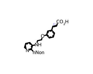 CCCCCCCCCc1ncccc1NCCOc1cccc(/C=C/C(=O)O)c1